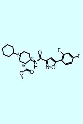 COC(=O)[C@@H]1CN(C2CCCCC2)CC[C@H]1NC(=O)c1cc(-c2ccc(F)cc2F)on1